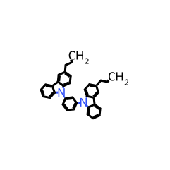 C=CCc1ccc2c(c1)c1ccccc1n2-c1cccc(-n2c3ccccc3c3cc(CC=C)ccc32)c1